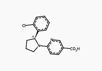 O=C(O)c1ccc(N2CCC[C@H]2c2ccccc2Cl)nc1